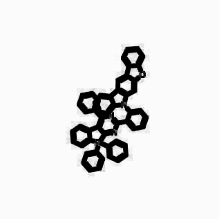 c1ccc(-c2nc(-c3ccccc3-n3c4ccccc4c4cc5c(cc43)oc3ccccc35)nc3c2-c2ccccc2[Si]3(c2ccccc2)c2ccccc2)cc1